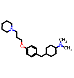 CN(C)C1CCC(Cc2ccc(OCCCN3CCCCC3)cc2)CC1